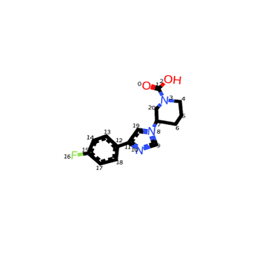 O=C(O)N1CCCC(n2cnc(-c3ccc(F)cc3)c2)C1